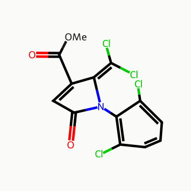 COC(=O)C1=CC(=O)N(c2c(Cl)cccc2Cl)C1=C(Cl)Cl